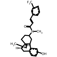 CN(C(=O)/C=C/c1cccc(C(F)(F)F)c1)C1CC[C@@]2(O)[C@H]3Cc4ccc(O)cc4[C@@]2(CCN3C)C1